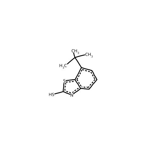 CC(C)(C)c1cccc2nc(S)sc12